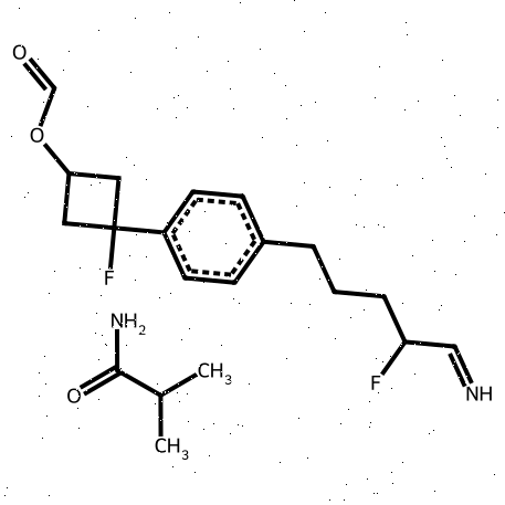 CC(C)C(N)=O.N=CC(F)CCCc1ccc(C2(F)CC(OC=O)C2)cc1